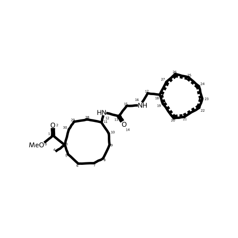 COC(=O)C1(C)CCCCCCC(NC(=O)CNCc2ccccccccc2)CCC1